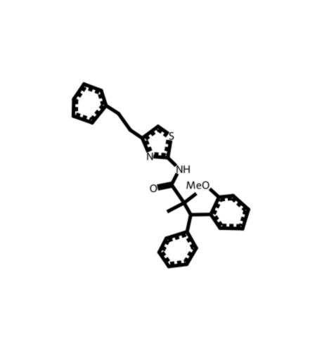 COc1ccccc1C(c1ccccc1)C(C)(C)C(=O)Nc1nc(CCc2ccccc2)cs1